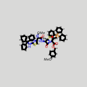 CO/N=C(\C(=O)NC1C(=O)N2C(C(=O)OCc3ccc(OC)cc3)=C(C=P(c3ccccc3)(c3ccccc3)c3ccccc3)CS[C@@H]12)c1csc(NC(c2ccccc2)(c2ccccc2)c2ccccc2)n1